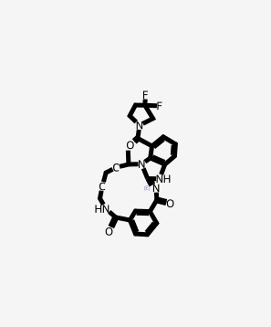 CC1CCCCNC(=O)c2cccc(c2)C(=O)/N=C2\Nc3cccc(C(=O)N4CCC(F)(F)C4)c3N21